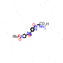 CC(C)(C)OC(=O)N1CCC(c2nc(-c3ccc(C(=O)NC[C@H](N)C(=O)O)cc3)no2)CC1